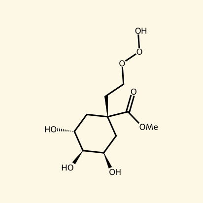 COC(=O)[C@]1(CCOOO)C[C@@H](O)[C@@H](O)[C@H](O)C1